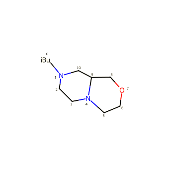 CCC(C)N1CCN2CCOCC2C1